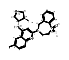 Cc1ccc2nc(N3CCS(=O)(=O)c4ccccc4C3)cc(N[C@@H]3CNC[C@H]3F)c2c1